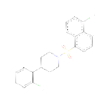 O=S(=O)(c1cccc2c(Cl)cccc12)N1CCC(C2C=CCC=C2Cl)CC1